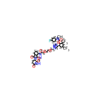 CN(C(=O)Oc1c(-c2cn(CCOCCOCC(=O)Nc3cccc4c3C(=O)N(C3CCC(=O)NC3=O)C4=O)nn2)cc(C(F)(F)F)cc1C(F)(F)F)c1ccc(F)cc1